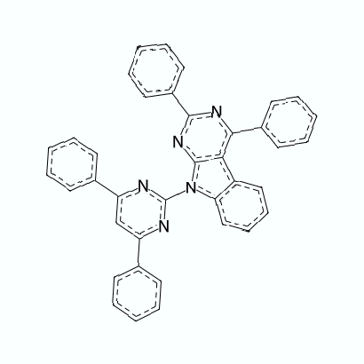 c1ccc(-c2cc(-c3ccccc3)nc(-n3c4ccccc4c4c(-c5ccccc5)nc(-c5ccccc5)nc43)n2)cc1